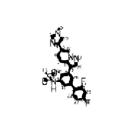 Cn1cnc(-c2ccc3c(-c4cc(NS(C)(=O)=O)cc(-c5ccc(F)cc5F)c4)cnn3c2)c1